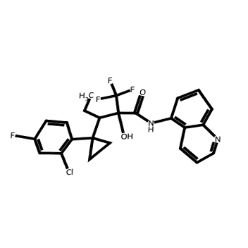 CCC(C1(c2ccc(F)cc2Cl)CC1)C(O)(C(=O)Nc1cccc2ncccc12)C(F)(F)F